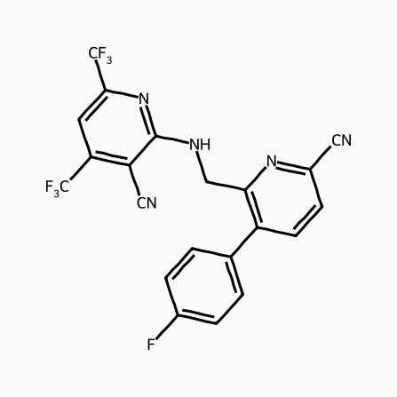 N#Cc1ccc(-c2ccc(F)cc2)c(CNc2nc(C(F)(F)F)cc(C(F)(F)F)c2C#N)n1